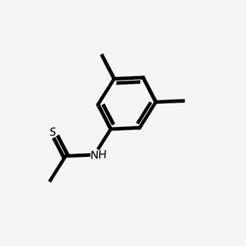 CC(=S)Nc1cc(C)cc(C)c1